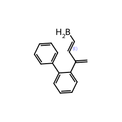 B/C=C/C(=C)c1ccccc1-c1ccccc1